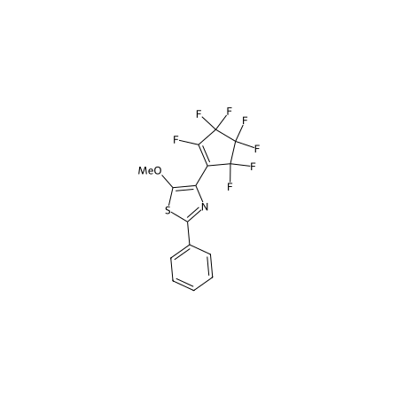 COc1sc(-c2ccccc2)nc1C1=C(F)C(F)(F)C(F)(F)C1(F)F